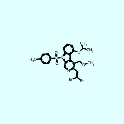 COCc1c(C=C(Br)Br)ncc2c1c1c(OC(C)C)cccc1n2S(=O)(=O)c1ccc(C)cc1